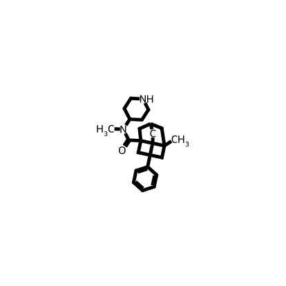 CN(C(=O)C12CC3CC4(C)CC(c5ccccc5)(C1)C42C3)C1CCNCC1